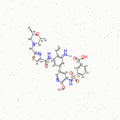 C=Cc1c(NC)cc(-c2cnc(OC)c(NS(=O)(=O)c3cccc(C(=O)O)c3)c2)cc1NC(=O)c1csc(CN2CC(C)O[C@H](C)C2)n1